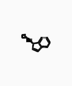 [Cl][Ru][CH]1C=Cc2ccccc21